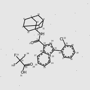 O=C(NC12CC3CC(CC(C3)C1)C2)c1nc(-c2ccccc2Cl)n2ccccc12.O=C(O)C(F)(F)F